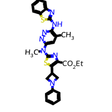 CCOC(=O)c1nc(N(C)c2cc(C)c(Nc3nc4ccccc4s3)nn2)sc1C1CN(c2ccccc2)C1